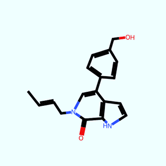 C/C=C/Cn1cc(-c2ccc(CO)cc2)c2cc[nH]c2c1=O